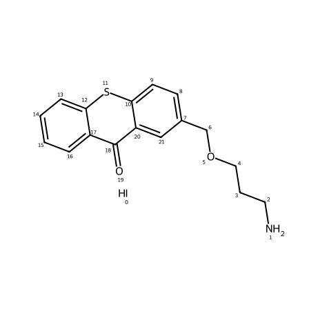 I.NCCCOCc1ccc2sc3ccccc3c(=O)c2c1